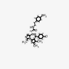 Bc1ccc(CCNC(=O)C[C@@H]2N=C(c3ccc(Cl)cc3)c3c(sc(C)c3C)-n3c(C)nnc32)cc1